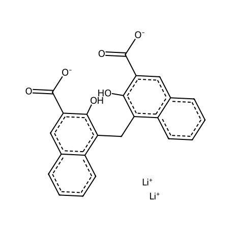 O=C([O-])c1cc2ccccc2c(Cc2c(O)c(C(=O)[O-])cc3ccccc23)c1O.[Li+].[Li+]